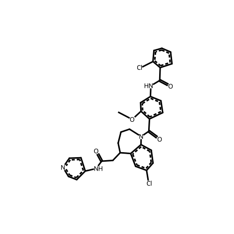 COc1cc(NC(=O)c2ccccc2Cl)ccc1C(=O)N1CCCC(CC(=O)Nc2ccncc2)c2cc(Cl)ccc21